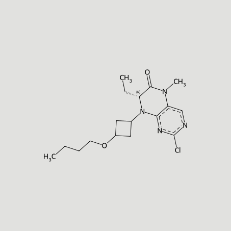 CCCCOC1CC(N2c3nc(Cl)ncc3N(C)C(=O)[C@H]2CC)C1